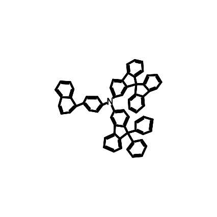 c1ccc(C2(c3ccccc3)c3ccccc3-c3cc(N(c4ccc(-c5cccc6ccccc56)cc4)c4ccc5c(c4)C4(c6ccccc6-c6ccccc64)c4ccccc4-5)ccc32)cc1